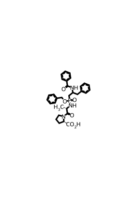 C[C@H](NP(=O)(CC(Cc1ccccc1)NC(=O)c1ccccc1)OCc1ccccc1)C(=O)N1CCC[C@H]1C(=O)O